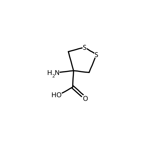 NC1(C(=O)O)CSSC1